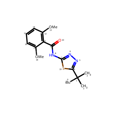 CCC(C)C(C)(C)c1nnc(NC(=O)c2c(OC)cccc2OC)s1